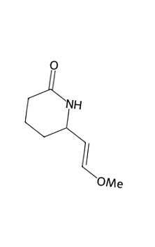 COC=CC1CCCC(=O)N1